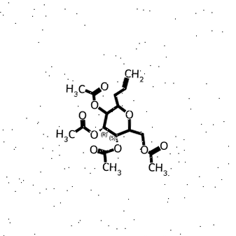 C=CCC1OC(COC(C)=O)[C@H](OC(C)=O)[C@H](OC(C)=O)C1OC(C)=O